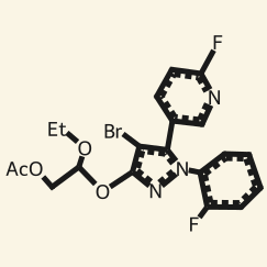 CCOC(COC(C)=O)Oc1nn(-c2ccccc2F)c(-c2ccc(F)nc2)c1Br